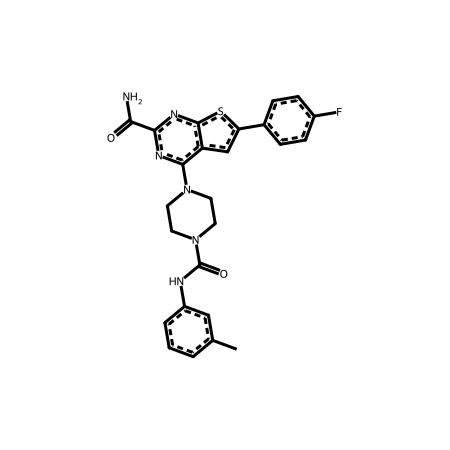 Cc1cccc(NC(=O)N2CCN(c3nc(C(N)=O)nc4sc(-c5ccc(F)cc5)cc34)CC2)c1